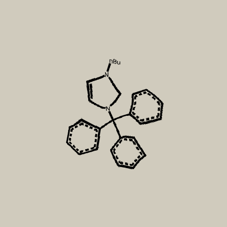 CCCCN1C=CN(C(c2ccccc2)(c2ccccc2)c2ccccc2)C1